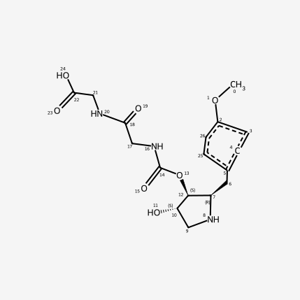 COc1ccc(C[C@H]2NC[C@H](O)[C@H]2OC(=O)NCC(=O)NCC(=O)O)cc1